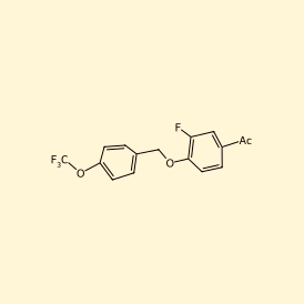 CC(=O)c1ccc(OCc2ccc(OC(F)(F)F)cc2)c(F)c1